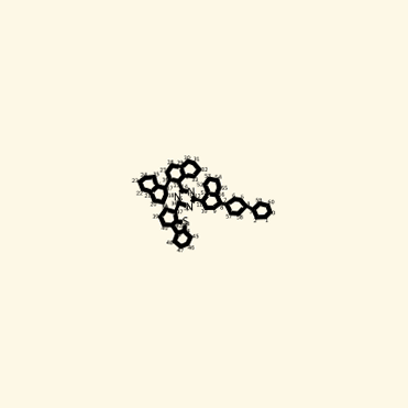 c1ccc(-c2ccc(-c3ccc(-c4nc(-c5c(-c6cccc7ccccc67)ccc6ccccc56)nc(-c5cccc6c5sc5ccccc56)n4)c4ccccc34)cc2)cc1